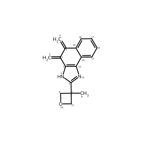 C=c1c(=C)c2[nH]c(C3(C)COC3)nc2c2ccccc12